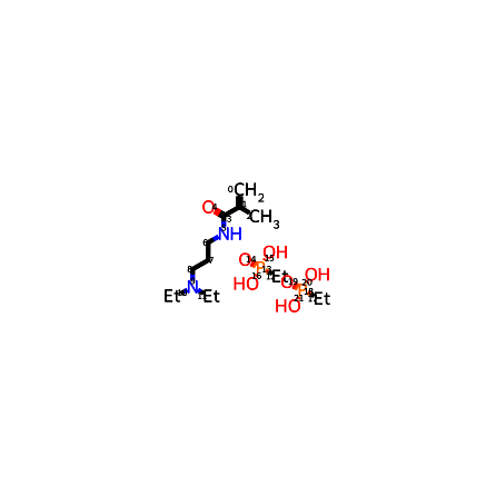 C=C(C)C(=O)NCCCN(CC)CC.CCP(=O)(O)O.CCP(=O)(O)O